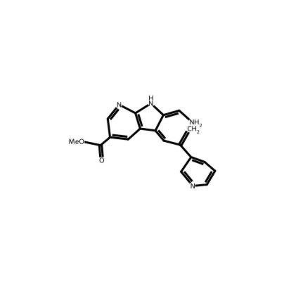 C=C(/C=c1\c(=C/N)[nH]c2ncc(C(=O)OC)cc12)c1cccnc1